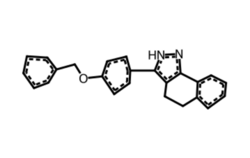 c1ccc(COc2ccc(-c3[nH]nc4c3CCc3ccccc3-4)cc2)cc1